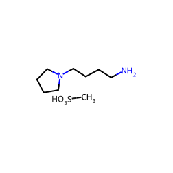 CS(=O)(=O)O.NCCCCN1CCCC1